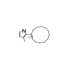 CC1=C(/C2=C/CCCCCCCCCC2)[N]C=C1